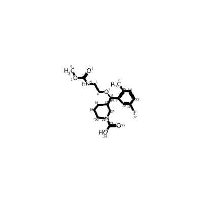 COC(=O)NCCO[C@@H](c1cc(F)ccc1C)C1CCCN(C(=O)O)C1